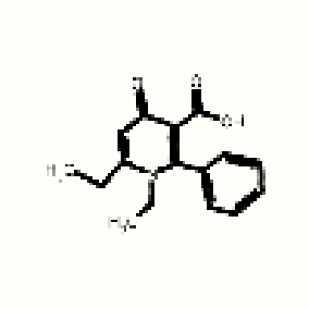 CCc1cc(=O)c(C(=O)O)c(-c2ccccc2)n1CC